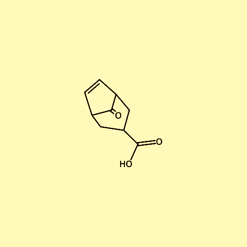 O=C1C2C=CC1CC(C(=O)O)C2